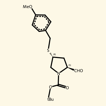 COc1ccc(CS[C@@H]2C[C@@H](C=O)N(C(=O)OC(C)(C)C)C2)cc1